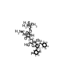 CC(C)(C)[C@H](c1cc(-c2cc(F)ccc2F)cn1Cc1ccccc1)N(CC[C@H](NC(=O)OCC[Si](C)(C)C)C(=O)NCCN)C(=O)CO